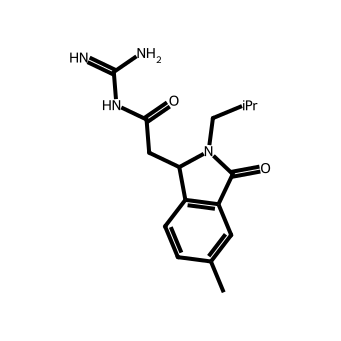 Cc1ccc2c(c1)C(=O)N(CC(C)C)C2CC(=O)NC(=N)N